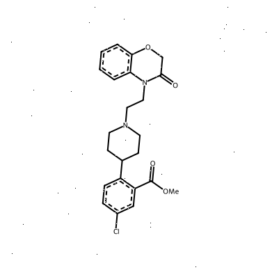 COC(=O)c1cc(Cl)ccc1C1CCN(CCN2C(=O)COc3ccccc32)CC1